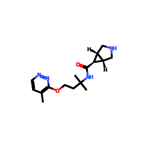 Cc1ccnnc1OCCC(C)(C)NC(=O)[C@H]1[C@@H]2CNC[C@@H]21